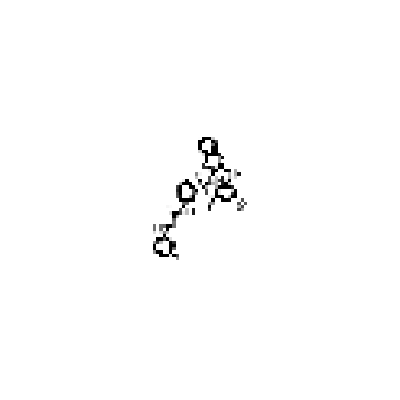 COc1cc(Nc2nc3ccccc3nc2NS(=O)(=O)c2cccc(NC(=O)CNc3cccc(F)c3)c2)cc(OC)c1